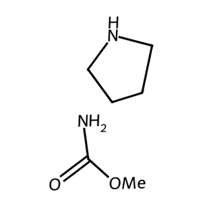 C1CCNC1.COC(N)=O